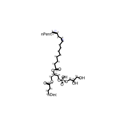 CCCCC/C=C\C/C=C\CCCCCCCC(=O)O[C@H](COC(=O)CCCCCCCCCCCC)COP(=O)(O)OC[C@@H](O)CO